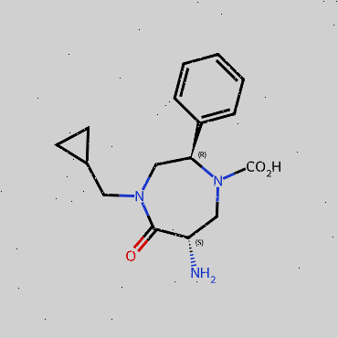 N[C@H]1CN(C(=O)O)[C@H](c2ccccc2)CN(CC2CC2)C1=O